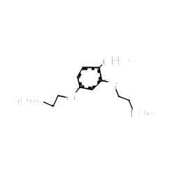 CCCCCCCCCCCCOc1ccc([C]=O)c(OCCCCCCCCCCCC)c1